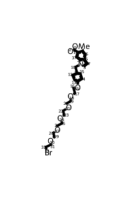 COC(=O)c1ccc2ccn(Cc3ccc(OCCOCCOCCOCCOCCOCCBr)cc3)c2c1